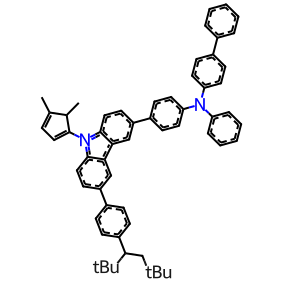 CC1=CC=C(n2c3ccc(-c4ccc(C(CC(C)(C)C)C(C)(C)C)cc4)cc3c3cc(-c4ccc(N(c5ccccc5)c5ccc(-c6ccccc6)cc5)cc4)ccc32)C1C